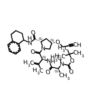 C#CCO[C@H]1C[C@@H](C(=O)NC2CCCc3ccccc32)N(C(=O)[C@@H](NC(=O)[C@H](C)N(C)C(=O)OC(C)(C)C)C(=C)C)C1